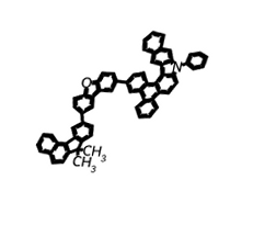 CC1(C)c2ccc(-c3ccc4oc5ccc(-c6ccc7c(c6)c6ccccc6c6ccc8c(c9cc%10ccccc%10cc9n8-c8ccccc8)c67)cc5c4c3)cc2-c2c1ccc1ccccc21